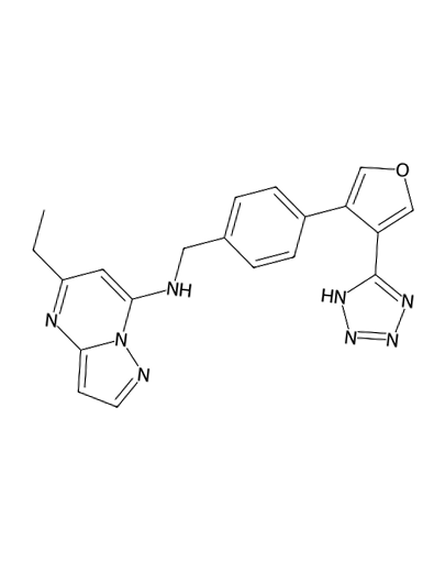 CCc1cc(NCc2ccc(-c3cocc3-c3nnn[nH]3)cc2)n2nccc2n1